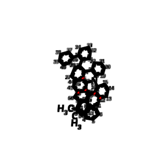 CC1(C)c2ccccc2-c2c(-c3ccccc3N(c3ccccc3-c3ccccc3-c3ccccc3-c3ccccc3)c3ccccc3-c3cccc4ccccc34)cccc21